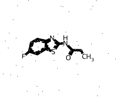 CCC(=O)Nc1nc2ccc(F)cc2s1